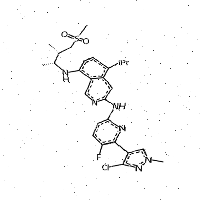 CC(C)c1ccc(N[C@H](C)[C@H](C)CS(C)(=O)=O)c2cnc(Nc3ccc(F)c(-c4cn(C)nc4Cl)n3)cc12